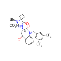 CC(C)(C)N(C(=O)O)C1(C(=O)N[C@@H]2CC(=O)c3ccccc3N(Cc3cc(C(F)(F)F)cc(C(F)(F)F)c3)C2=O)CCC1